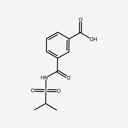 CC(C)S(=O)(=O)NC(=O)c1cccc(C(=O)O)c1